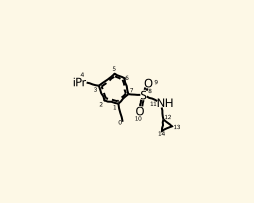 Cc1cc(C(C)C)ccc1S(=O)(=O)NC1CC1